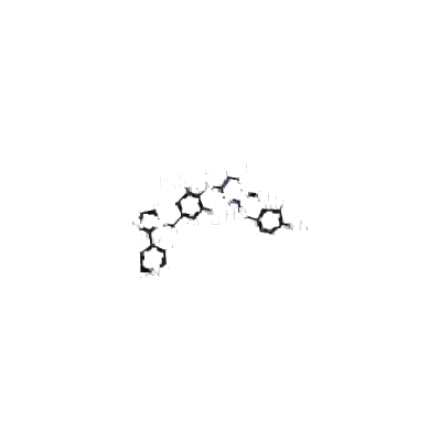 C=N/C(=N\C(=C/C)Nc1c(C)cc(Cn2ccnc2-c2ccncc2)cc1C)Nc1ccc(C#N)cc1